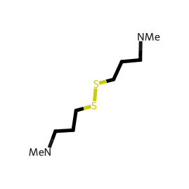 CNCCCSSCCCNC